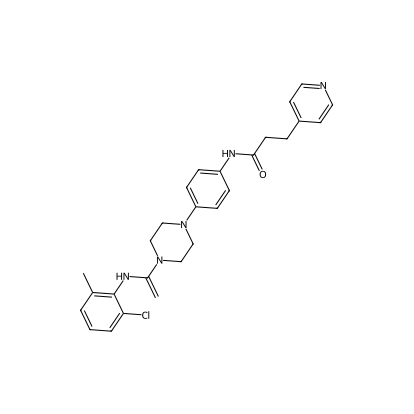 C=C(Nc1c(C)cccc1Cl)N1CCN(c2ccc(NC(=O)CCc3ccncc3)cc2)CC1